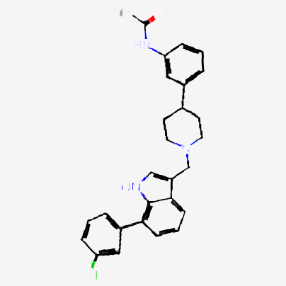 CC(C)C(=O)Nc1cccc(C2CCN(Cc3c[nH]c4c(-c5cccc(Cl)c5)cccc34)CC2)c1